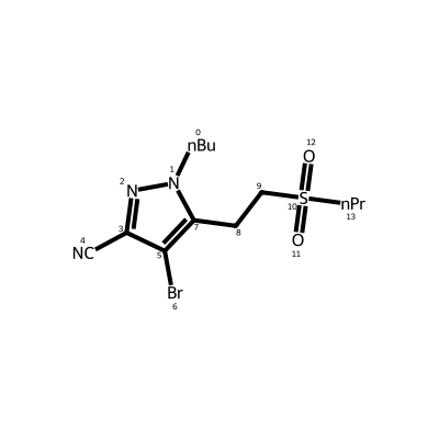 CCCCn1nc(C#N)c(Br)c1CCS(=O)(=O)CCC